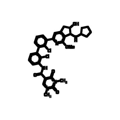 COc1nc(-c2cccc(-c3cccc(NC(=O)c4cn(C)c(=O)n(C)c4=O)c3Cl)c2Cl)cc2c1C(NC1CCCC1)C(O)C2